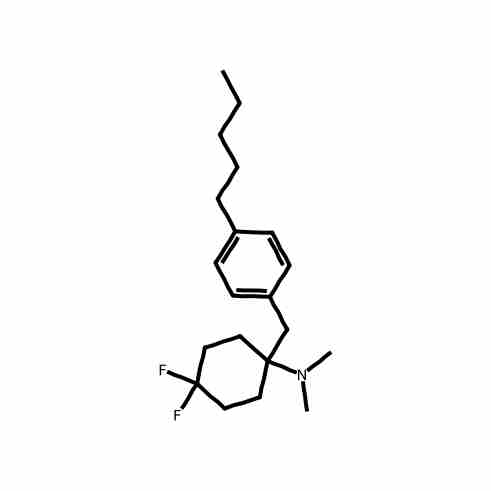 CCCCCc1ccc(CC2(N(C)C)CCC(F)(F)CC2)cc1